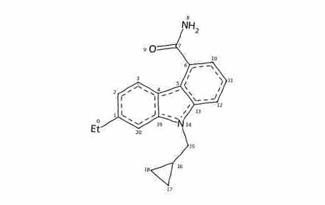 CCc1c[c]c2c3c(C(N)=O)cccc3n(CC3CC3)c2c1